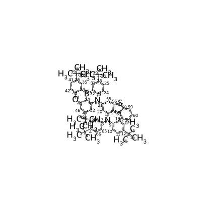 CC(C)(C)c1ccc(N(c2ccc(C(C)(C)C)cc2)c2cc(N3c4ccc(C(C)(C)C)cc4B4c5cc(C(C)(C)C)ccc5Oc5cc(C(C)(C)C)cc3c54)cc3sc4ccccc4c23)cc1